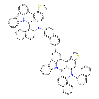 c1ccc2c(N3c4cc5sccc5c5c4B(c4ccc6ccccc6c43)n3c4ccccc4c4cc(-c6ccc7ccc(N8c9cc%10ccsc%10c%10c9B(c9c8ccc8ccccc98)n8c9ccccc9c9cccc-%10c98)cc7c6)cc-5c43)cccc2c1